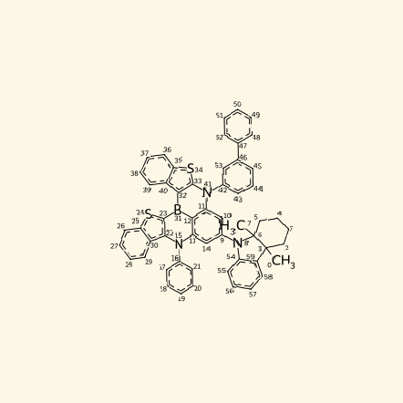 CC12CCCCC1(C)N(c1cc3c4c(c1)N(c1ccccc1)c1c(sc5ccccc15)B4c1c(sc4ccccc14)N3c1cccc(-c3ccccc3)c1)c1ccccc12